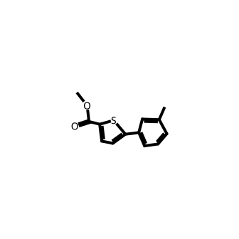 COC(=O)c1ccc(-c2cccc(C)c2)s1